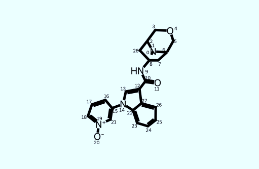 CN1C2COCC1CC(NC(=O)c1cn(-c3ccc[n+]([O-])c3)c3ccccc13)C2